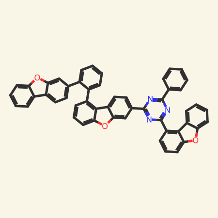 c1ccc(-c2nc(-c3ccc4c(c3)oc3cccc(-c5ccccc5-c5ccc6c(c5)oc5ccccc56)c34)nc(-c3cccc4oc5ccccc5c34)n2)cc1